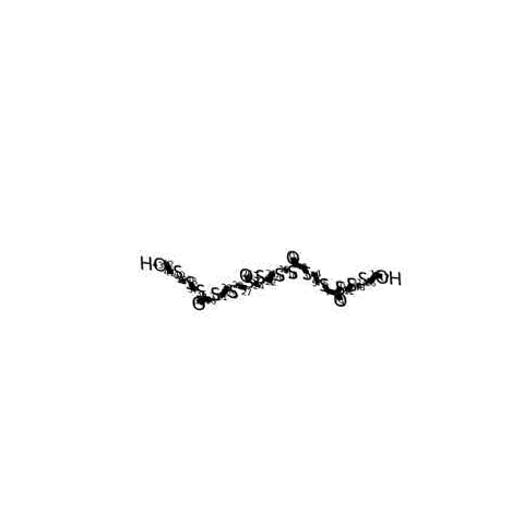 O=C(CSCCSCC(=O)SCSCSCCO)SCSCCSC[S+]([O-])CCSCCSCC(=O)SCSCSCCO